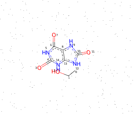 CCO.O=c1[nH]c(=O)c2[nH]c(=O)[nH]c2[nH]1